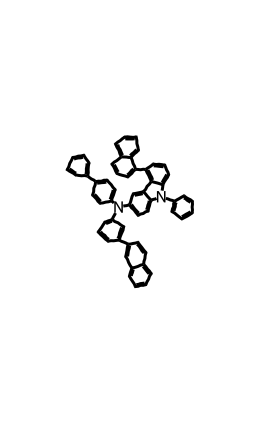 c1ccc(-c2ccc(N(c3cccc(-c4ccc5ccccc5c4)c3)c3ccc4c(c3)c3c(-c5cccc6ccccc56)cccc3n4-c3ccccc3)cc2)cc1